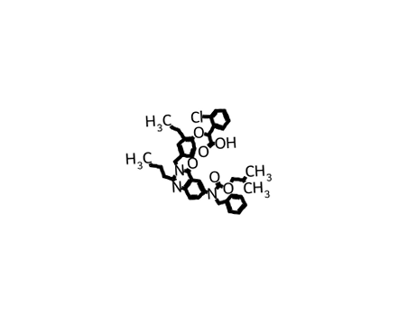 CCCCc1nc2ccc(N(Cc3ccccc3)C(=O)OCC(C)C)cc2c(=O)n1Cc1ccc(OC(C(=O)O)c2ccccc2Cl)c(CCC)c1